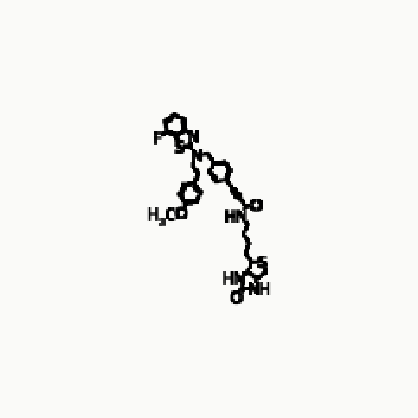 COc1ccc(CCN(Cc2ccc(C#CC(=O)NCCCCC3SCC4NC(=O)NC43)cc2)c2nc3cccc(F)c3s2)cc1